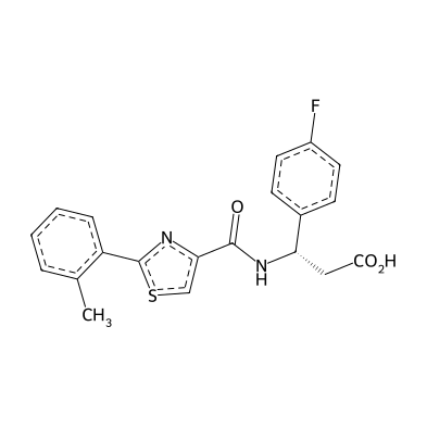 Cc1ccccc1-c1nc(C(=O)N[C@@H](CC(=O)O)c2ccc(F)cc2)cs1